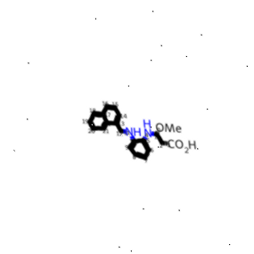 COC(CC(=O)O)Nc1ccccc1NCc1cccc2ccccc12